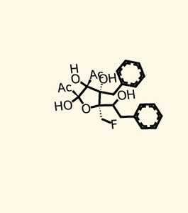 CC(=O)[C@@]1(O)[C@@](O)(Cc2ccccc2)[C@@](CF)(C(O)Cc2ccccc2)O[C@@]1(O)C(C)=O